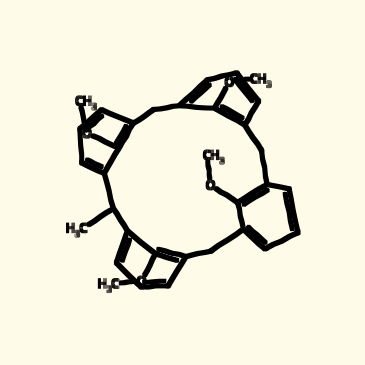 COc1c2cccc1Cc1cccc(c1OC)C(C)c1cccc(c1OC)Cc1cccc(c1OC)C2